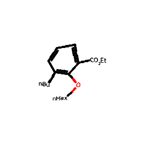 CCCCCCOc1c(CCCC)cccc1C(=O)OCC